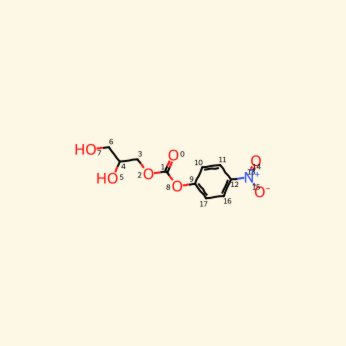 O=C(OCC(O)CO)Oc1ccc([N+](=O)[O-])cc1